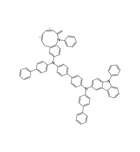 C=C1/C=C\C=C/Cc2cc(N(c3ccc(-c4ccccc4)cc3)c3ccc(-c4ccc(N(c5ccc(-c6ccccc6)cc5)c5ccc6c(c5)c5ccccc5n6-c5ccccc5)cc4)cc3)ccc2N1c1ccccc1